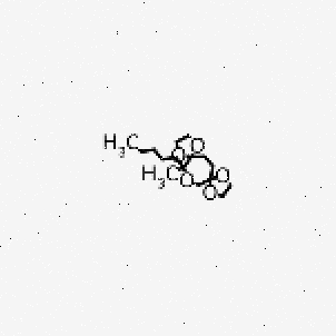 CCCCCC1(C)OCC2(CCC13OCCO3)OCCO2